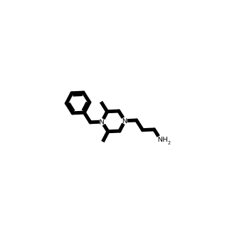 CC1CN(CCCN)CC(C)N1Cc1ccccc1